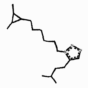 CC(C)CCc1cnnn1CCCCCCC1C(C)C1C